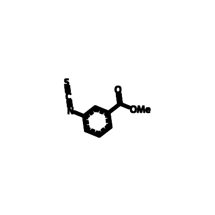 COC(=O)c1cccc(N=C=S)c1